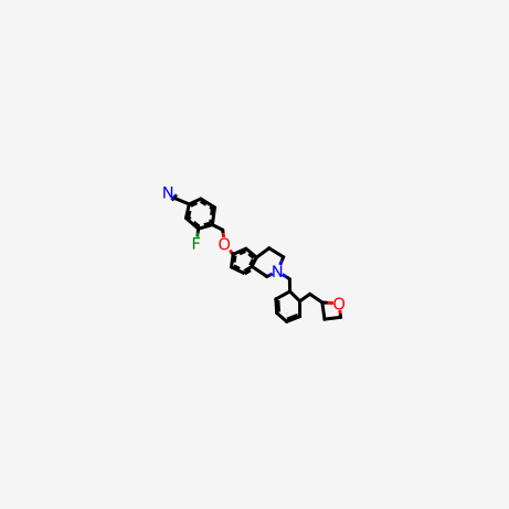 N#Cc1ccc(COc2ccc3c(c2)CCN(CC2C=CC=CC2CC2CCO2)C3)c(F)c1